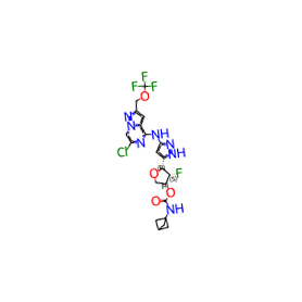 O=C(NC12CC(C1)C2)O[C@@H]1CO[C@H](c2cc(Nc3nc(Cl)cn4nc(COC(F)(F)F)cc34)n[nH]2)[C@@H]1F